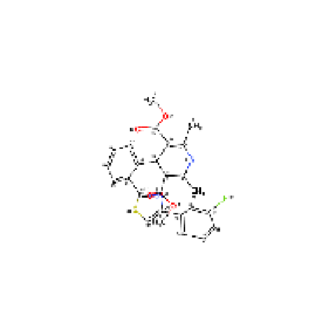 COC(=O)C1=C(C)NC(C)=C(C(=O)OC)C1c1ccccc1-c1nc(-c2cccc(F)c2)cs1